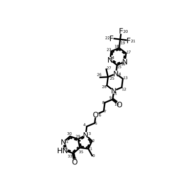 Cc1cn(CCOCCC(=O)N2CCN(c3ncc(C(F)(F)F)cn3)C(C)(C)C2)c2cn[nH]c(=O)c12